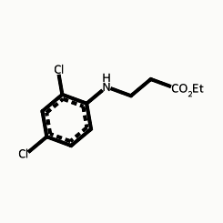 CCOC(=O)CCNc1ccc(Cl)cc1Cl